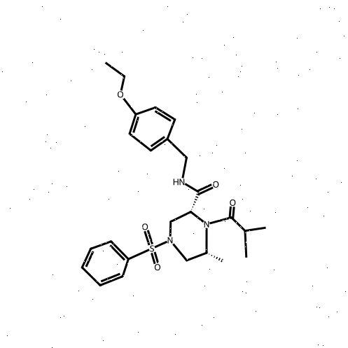 CCOc1ccc(CNC(=O)[C@H]2CN(S(=O)(=O)c3ccccc3)C[C@@H](C)N2C(=O)C(C)C)cc1